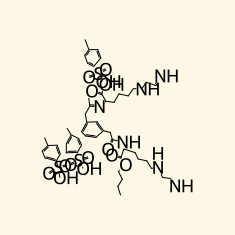 CCCCOC(=O)C(CCCCNCC=N)NC(=O)Cc1cccc(CC(C)=NC(CCCCNCC=N)C(=O)O)c1.Cc1ccc(S(=O)(=O)O)cc1.Cc1ccc(S(=O)(=O)O)cc1.Cc1ccc(S(=O)(=O)O)cc1